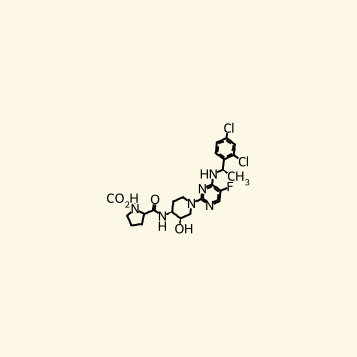 C[C@@H](Nc1nc(N2CC[C@H](NC(=O)C3CCCN3C(=O)O)[C@H](O)C2)ncc1F)c1ccc(Cl)cc1Cl